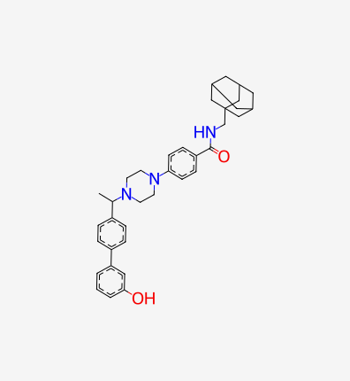 CC(c1ccc(-c2cccc(O)c2)cc1)N1CCN(c2ccc(C(=O)NCC34CC5CC(CC(C5)C3)C4)cc2)CC1